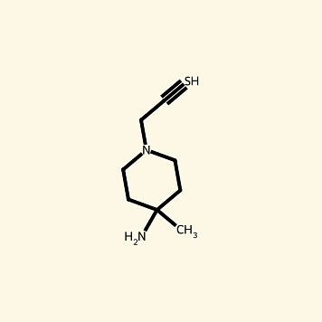 CC1(N)CCN(CC#[SH])CC1